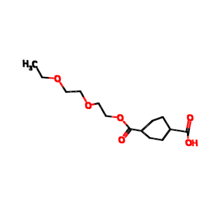 CCOCCOCCOC(=O)C1CCC(C(=O)O)CC1